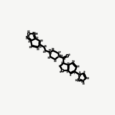 O=C(C1COc2cc(-n3ccnn3)ccc21)N1CCN(CCc2ccc3nonc3c2)CC1